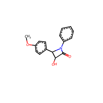 COc1ccc(C2C(O)C(=O)N2c2ccccc2)cc1